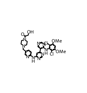 COc1cc(OC)c(Cl)c(Nc2ncncc2-c2cc(Nc3ccc(CN4CCN(C(=O)CO)CC4)cn3)ncn2)c1Cl